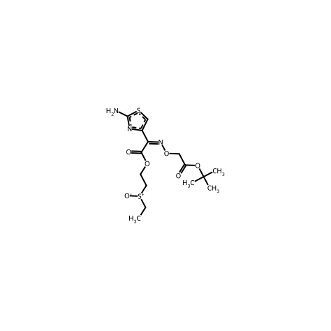 CC[S+]([O-])CCOC(=O)/C(=N\OCC(=O)OC(C)(C)C)c1csc(N)n1